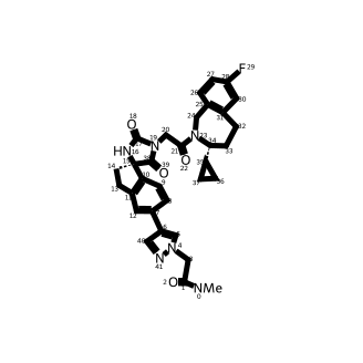 CNC(=O)Cn1cc(-c2ccc3c(c2)CC[C@@]32NC(=O)N(CC(=O)N3Cc4ccc(F)cc4CC[C@@H]3C3CC3)C2=O)cn1